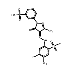 CC1=NN(c2cccc(S(=O)(=O)O)c2)C(=O)/C1=N/Nc1cc(Cl)c(C)cc1S(=O)(=O)O